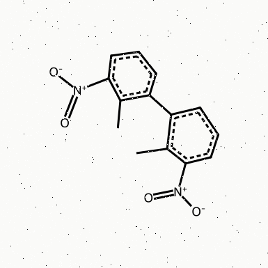 Cc1c(-c2cccc([N+](=O)[O-])c2C)cccc1[N+](=O)[O-]